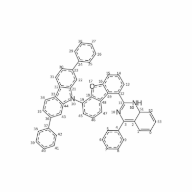 C1=CC2=C(c3ccccc3)N=C(c3cccc4oc5c(-n6c7cc(-c8ccccc8)ccc7c7ccc(-c8ccccc8)cc76)cccc5c34)NC2C=C1